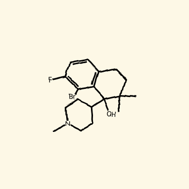 CN1CCC(C2(O)c3c(ccc(F)c3Br)CCC2(C)C)CC1